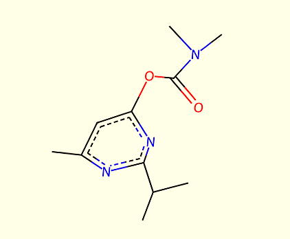 Cc1cc(OC(=O)N(C)C)nc(C(C)C)n1